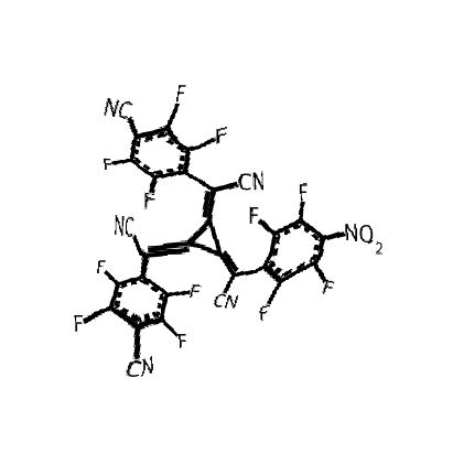 N#CC(=C1C(=C(/C#N)c2c(F)c(F)c(C#N)c(F)c2F)/C1=C(/C#N)c1c(F)c(F)c([N+](=O)[O-])c(F)c1F)c1c(F)c(F)c(C#N)c(F)c1F